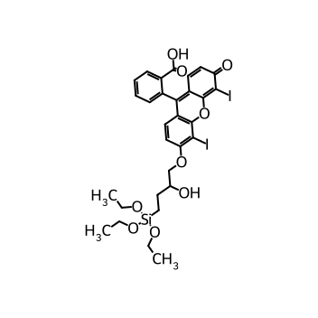 CCO[Si](CCC(O)COc1ccc2c(-c3ccccc3C(=O)O)c3ccc(=O)c(I)c-3oc2c1I)(OCC)OCC